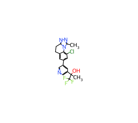 Cc1nnc2n1-c1c(Cl)cc(-c3cncc(C(C)(O)C(F)(F)F)c3)cc1CC2